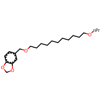 CCCOCCCCCCCCCCCOCc1ccc2c(c1)OCO2